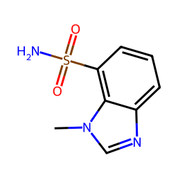 Cn1cnc2cccc(S(N)(=O)=O)c21